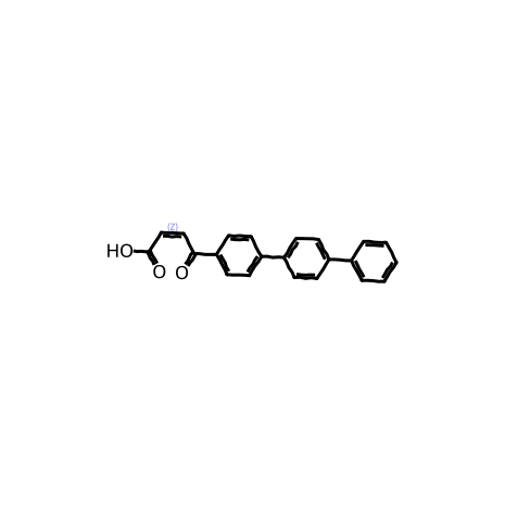 O=C(O)/C=C\C(=O)c1ccc(-c2ccc(-c3ccccc3)cc2)cc1